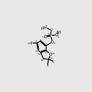 CCCSP(=O)(OCC)Oc1cc(F)cc2c1OC(C)(C)C2